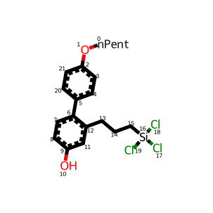 CCCCCOc1ccc(-c2ccc(O)cc2CCC[Si](Cl)(Cl)Cl)cc1